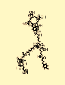 Cc1ccc(CCCC(=O)NCCCC[C@H](NC(=O)[C@H](CCCCNC(=S)Nc2ccc(CC3CN(CC(=O)O)CCN(CC(=O)O)CCN(CC(=O)O)CCN3CC(=O)O)cc2)NC(=O)CCCCCCCNC(=O)CC[C@H](NC(=O)N[C@@H](CCC(=O)O)C(=O)O)C(=O)O)C(=O)O)cc1